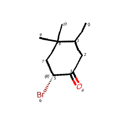 CC1CC(=O)[C@H](Br)CC1(C)C